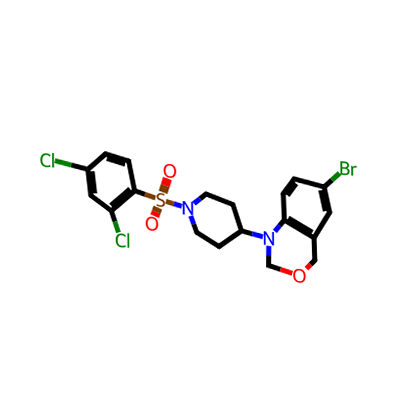 O=S(=O)(c1ccc(Cl)cc1Cl)N1CCC(N2COCc3cc(Br)ccc32)CC1